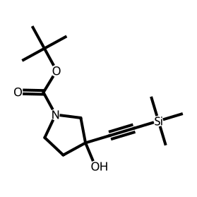 CC(C)(C)OC(=O)N1CCC(O)(C#C[Si](C)(C)C)C1